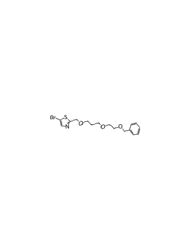 Brc1cnc(COCCCOCCOCc2ccccc2)s1